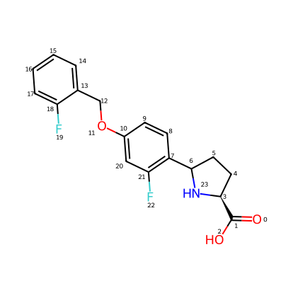 O=C(O)[C@@H]1CCC(c2ccc(OCc3ccccc3F)cc2F)N1